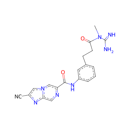 CN(C(=N)N)C(=O)CCc1cccc(NC(=O)c2cn3cc(C#N)nc3cn2)c1